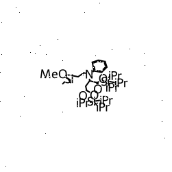 CO[Si](C)(C)CCCN(c1ccccc1)C(CC(=O)O[Si](C(C)C)(C(C)C)C(C)C)C(=O)O[Si](C(C)C)(C(C)C)C(C)C